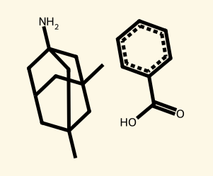 CC12CC3CC(C)(C1)CC(N)(C3)C2.O=C(O)c1ccccc1